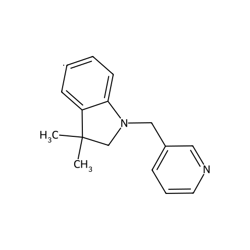 CC1(C)CN(Cc2cccnc2)c2cc[c]cc21